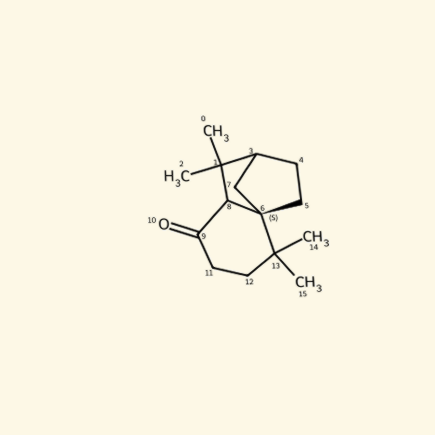 CC1(C)C2CC[C@]3(C2)C1C(=O)CCC3(C)C